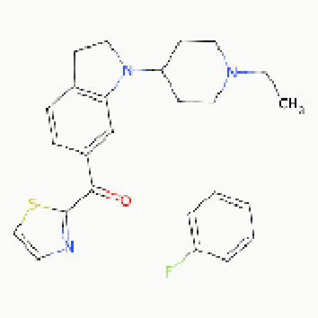 CCN1CCC(N2CCc3ccc(C(=O)c4nccs4)cc32)CC1.Fc1ccccc1